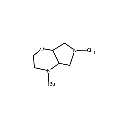 CN1CC2OCCN(C(C)(C)C)C2C1